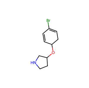 BrC1=CCC(OC2CCNC2)C=C1